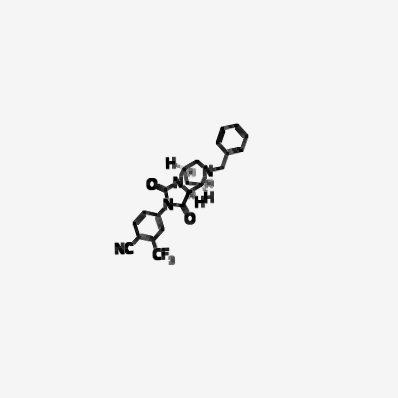 N#Cc1ccc(N2C(=O)[C@@H]3[C@H]4C[C@H](CN4Cc4ccccc4)N3C2=O)cc1C(F)(F)F